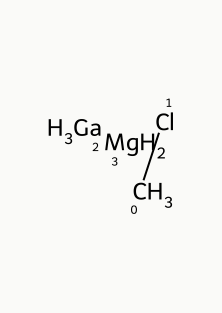 CCl.[GaH3].[MgH2]